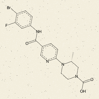 C[C@@H]1CN(C(=O)O)CCN1c1ccc(C(=O)Nc2ccc(Br)c(F)c2)cn1